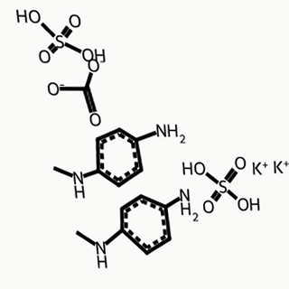 CNc1ccc(N)cc1.CNc1ccc(N)cc1.O=C([O-])[O-].O=S(=O)(O)O.O=S(=O)(O)O.[K+].[K+]